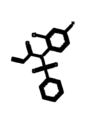 C=CC(=O)N(c1ccc(F)cc1Cl)S(=O)(=O)c1ccccc1